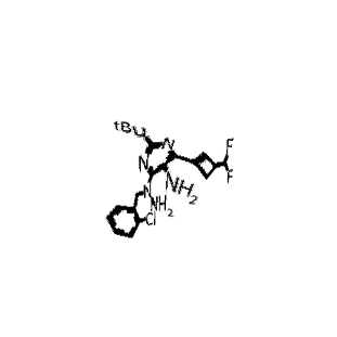 CC(C)(C)c1nc(C2CC(C(F)F)C2)c(N)c(N(N)Cc2ccccc2Cl)n1